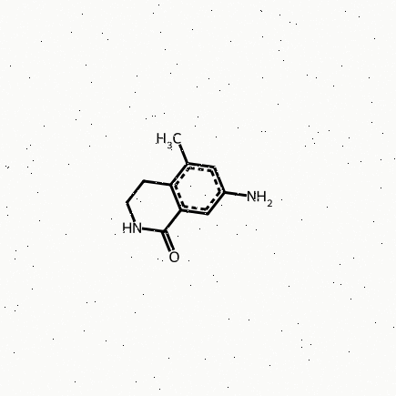 Cc1cc(N)cc2c1CCNC2=O